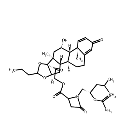 CCCC1O[C@@H]2C[C@H]3[C@@H]4CCC5=CC(=O)C=C[C@]5(C)[C@H]4[C@@H](O)C[C@]3(C)[C@]2(C(=O)COC(=O)C2CC(=O)N2C[C@H](CC(C)C)OC(N)=S)O1